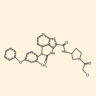 Cc1cc(Oc2ccccc2)ccc1N1C(=O)Nc2c(C(=O)NC3CCN(C(=O)CCl)C3)sc3nccc1c23